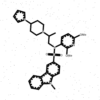 COc1ccc(N(CC(C)N2CCC(n3cccc3)CC2)S(=O)(=O)c2ccc3c(c2)c2ccccc2n3C)c(OC)n1